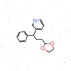 c1ccc(C(CCC2OCCO2)c2cccnc2)cc1